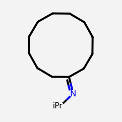 CC(C)N=C1CCCCCCCCCCC1